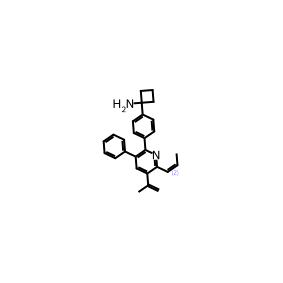 C=C(C)c1cc(-c2ccccc2)c(-c2ccc(C3(N)CCC3)cc2)nc1/C=C\C